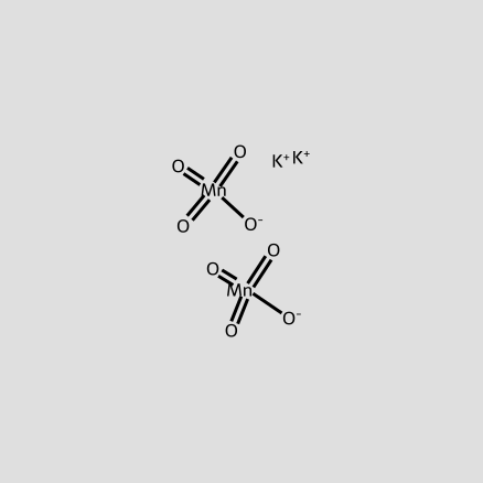 [K+].[K+].[O]=[Mn](=[O])(=[O])[O-].[O]=[Mn](=[O])(=[O])[O-]